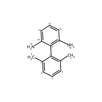 Cc1cccc(C)c1-c1c(N)cccc1N